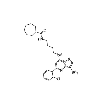 Bc1cnn2c(NCCCCNC(=O)C3CCCCCC3)cc(C3C=CC=CC3Cl)nc12